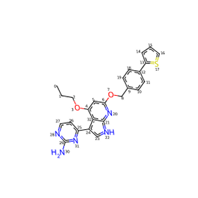 CCCOc1cc(OCc2ccc(-c3cccs3)cc2)nc2[nH]cc(-c3ccnc(N)n3)c12